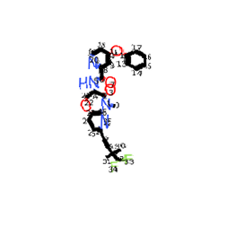 CN1C(=O)[C@@H](NC(=O)c2cc(Oc3ccccc3)ccn2)COc2ccc(C#CC(C)(C)C(F)F)nc21